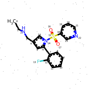 CCNCc1cc(-c2ccccc2F)n(S(=O)(=O)c2cccnc2)c1